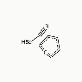 N#C[SeH].c1ccccc1